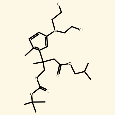 Cc1ccc(N(CCCl)CCCl)cc1C(C)(CNC(=O)OC(C)(C)C)CC(=O)OCC(C)C